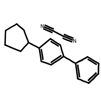 N#CC#N.c1ccc(-c2ccc(C3CCCCC3)cc2)cc1